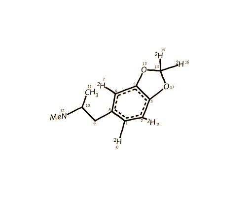 [2H]c1c([2H])c2c(c([2H])c1CC(C)NC)OC([2H])([2H])O2